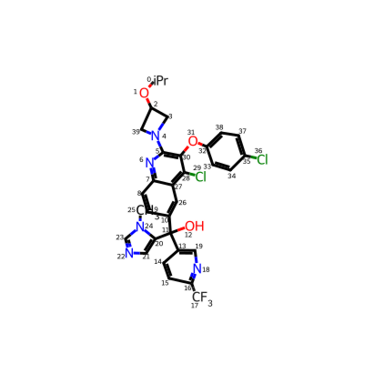 CC(C)OC1CN(c2nc3ccc(C(O)(c4ccc(C(F)(F)F)nc4)c4cncn4C)cc3c(Cl)c2Oc2ccc(Cl)cc2)C1